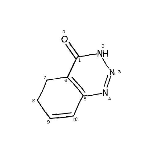 O=c1[nH]nnc2c1CCC=C2